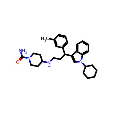 Cc1cccc(C(CCNC2CCN(C(N)=O)CC2)c2cn(C3CCCCC3)c3ccccc23)c1